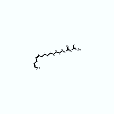 CC/C=C\C/C=C\CCCCCCCCOC(=O)OC(C)C(C)(C)C